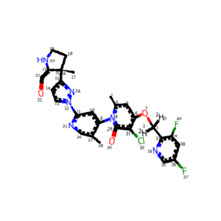 [2H]C([2H])(Oc1cc(C)n(-c2cc(-n3ccc([C@@]4(C)CCNC4=C=O)n3)ncc2C)c(=O)c1Cl)c1ncc(F)cc1F